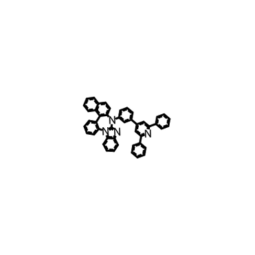 c1ccc(-c2cc(-c3cccc(N4c5ccc6ccccc6c5-c5ccccc5-n5c4nc4ccccc45)c3)cc(-c3ccccc3)n2)cc1